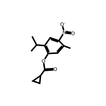 Cc1cc(OC(=O)C2CC2)c(C(C)C)cc1[N+](=O)[O-]